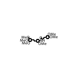 COc1cc(C=Cc2cc(OC)c(OC)c(OC)c2)ccc1NC(=O)/C=C/c1ccc(OC)c(OC)c1